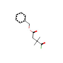 CC(C)(CC(=O)OCc1ccccc1)C(=O)Cl